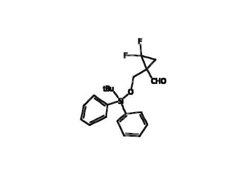 CC(C)(C)[Si](OCC1(C=O)CC1(F)F)(c1ccccc1)c1ccccc1